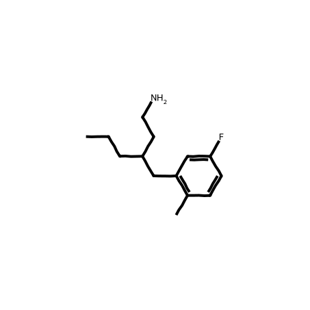 CCCC(CCN)Cc1cc(F)ccc1C